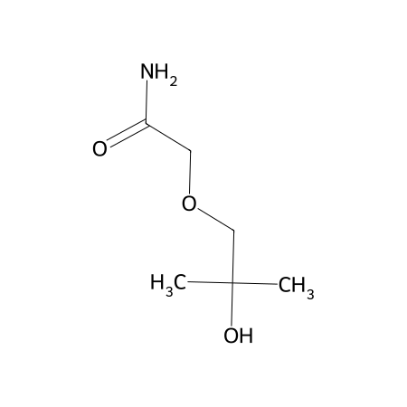 CC(C)(O)COCC(N)=O